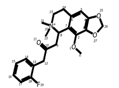 COc1c2c(cc3c1C(CC(=O)Cc1ccccc1F)[N+](C)(C)CC3)OCO2